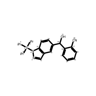 CC(C)[Si](C(C)C)(C(C)C)n1ncc2cc(C(O)c3ccccc3C#N)ccc21